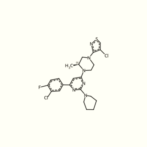 C[C@H]1CN(c2nscc2Cl)CCN1c1cc(-c2ccc(F)c(Cl)c2)nc(N2CCCCC2)n1